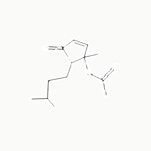 CC(=O)OC1(C)C=CC(=O)C1CCC(C)C